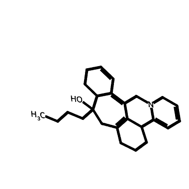 CCCCC1(O)CC2=C3C(=C4C=CCCC41)CN1CC=CC=C1C3CCC2